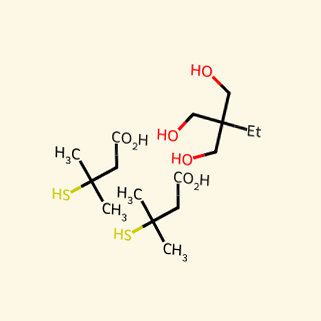 CC(C)(S)CC(=O)O.CC(C)(S)CC(=O)O.CCC(CO)(CO)CO